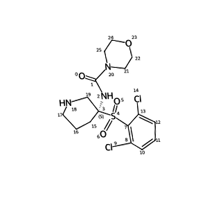 O=C(N[C@]1(S(=O)(=O)c2c(Cl)cccc2Cl)CCCNC1)N1CCOCC1